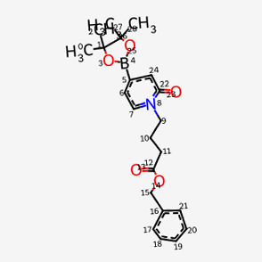 CC1(C)OB(c2ccn(CCCC(=O)OCc3ccccc3)c(=O)c2)OC1(C)C